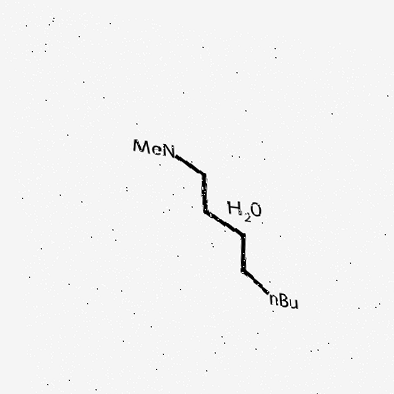 CCCCCCCCNC.O